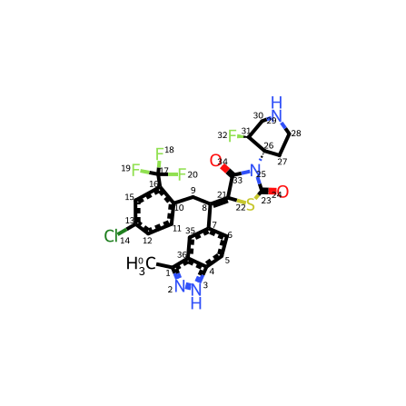 Cc1n[nH]c2ccc(/C(Cc3ccc(Cl)cc3C(F)(F)F)=C3\SC(=O)N([C@H]4CCNC[C@@H]4F)C3=O)cc12